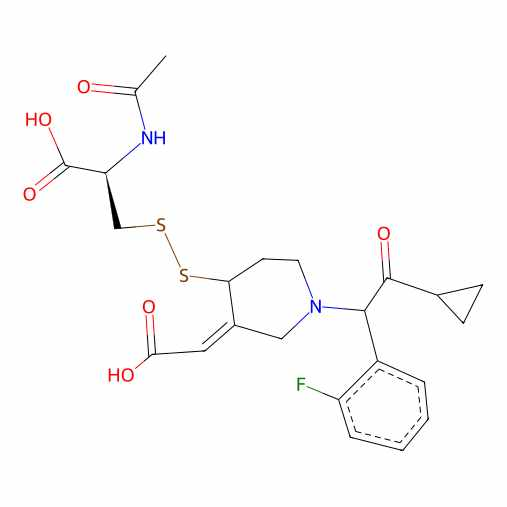 CC(=O)N[C@@H](CSSC1CCN(C(C(=O)C2CC2)c2ccccc2F)C/C1=C/C(=O)O)C(=O)O